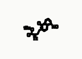 CCN(CCn1ccc2c(N=O)cccc2c1=O)C(=O)OC(C)(C)C